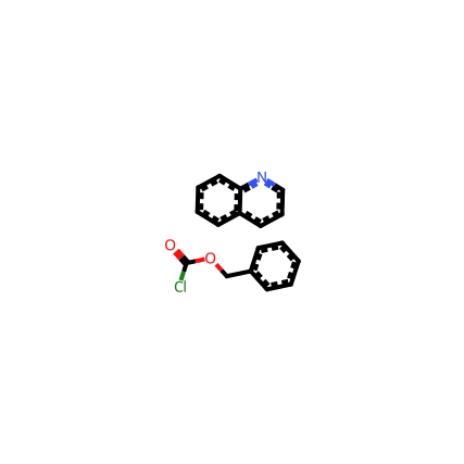 O=C(Cl)OCc1ccccc1.c1ccc2ncccc2c1